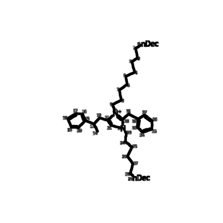 CCCCCCCCCCCCCCCCCCC[n+]1c(CC(C)c2ccccc2)cn(CCCCCCCCCCCCCCCC)c1Cc1ccccc1